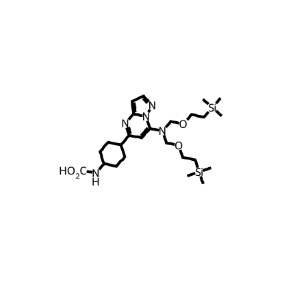 C[Si](C)(C)CCOCN(COCC[Si](C)(C)C)c1cc(C2CCC(NC(=O)O)CC2)nc2ccnn12